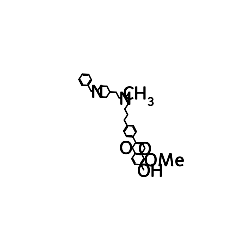 COc1c(O)ccc2c(=O)c(-c3ccc(CCCCN(C)CCC4CCN(Cc5ccccc5)CC4)cc3)coc12